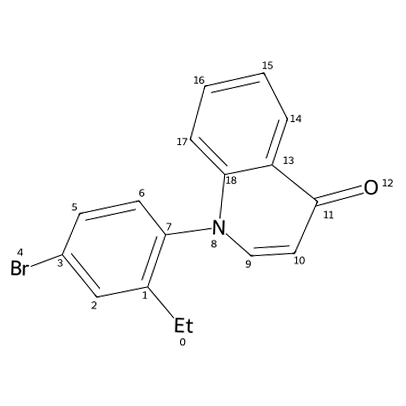 CCc1cc(Br)ccc1-n1ccc(=O)c2ccccc21